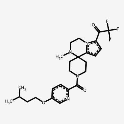 CC(C)CCOc1ccc(C(=O)N2CCC3(CC2)c2ccc(C(=O)C(F)(F)F)n2CCN3C)nc1